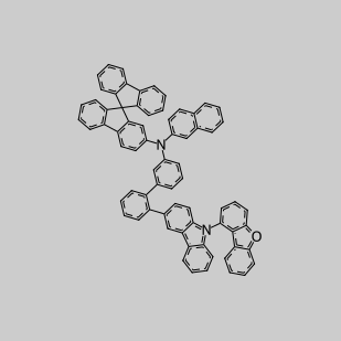 c1cc(-c2ccccc2-c2ccc3c(c2)c2ccccc2n3-c2cccc3oc4ccccc4c23)cc(N(c2ccc3c(c2)C2(c4ccccc4-c4ccccc42)c2ccccc2-3)c2ccc3ccccc3c2)c1